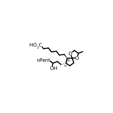 CCCCCC(O)CC[C@H]1CCC2(OCC(C)O2)[C@@H]1CCCCCCC(=O)O